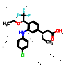 CCO[C@@H](c1ccc([C@@H](CC)CC(=O)O)cc1Nc1ccc(Cl)cc1)C(F)(F)F